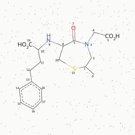 CC1CN(CC(=O)O)C(=O)C(NC(CCc2ccccc2)C(=O)O)CS1